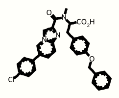 CN(C(=O)c1cn2cc(-c3ccc(Cl)cc3)ccc2n1)C(Cc1ccc(OCc2ccccc2)cc1)C(=O)O